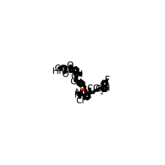 Cc1nn(C)c(C)c1-c1c(Cl)ccc2c(CCCOc3cccc4cc(F)ccc34)c(C(=O)O)n(CCN3CCN(C(=O)COc4c(N(C)C)ccc5c4CN(C4CCC(=O)NC4=O)C5=O)CC3)c12